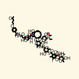 CCN(C(C)=O)[C@H]1CO[C@@H](OC2[C@H](OC3C#C/C=C\C#C[C@]4(O)CC(=O)C(NC(=O)CO)=C3/C4=C\CSSC(C)(C)CC(=O)N/N=C(\C)c3ccc(OCCCC(C)=O)cc3)OC(C)[C@@H](NO[C@H]3C[C@@H](O)[C@H](SC(=O)c4c(C)c(I)c(O[C@@H]5OC(C)[C@H](O)[C@H](OC)C5O)c(CO)c4OC)C(C)O3)[C@H]2O)C[C@H]1OC